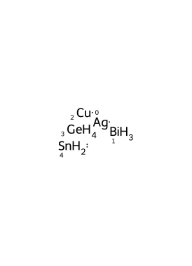 [Ag].[BiH3].[Cu].[GeH4].[SnH2]